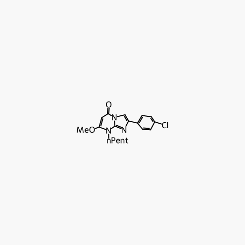 CCCCCn1c(OC)cc(=O)n2cc(-c3ccc(Cl)cc3)nc12